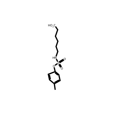 Cc1ccc(OS(=O)(=O)NCCCCCC(=O)O)cc1